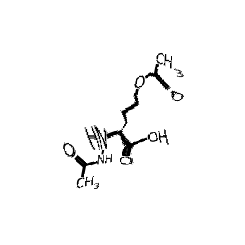 CC(=O)NN[C@@H](CCOC(C)=O)C(=O)O